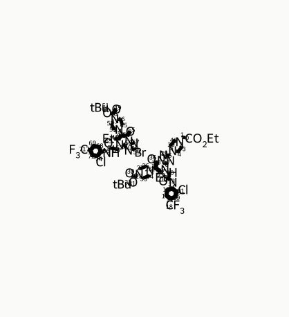 CCOC(=O)CN1CCN(c2nc3n(CC(=O)Nc4ccc(C(F)(F)F)cc4Cl)c(CC)c(N4CCN(C(=O)OC(C)(C)C)CC4)c(=O)n3n2)CC1.CCc1c(N2CCN(C(=O)OC(C)(C)C)CC2)c(=O)n2nc(Br)nc2n1CC(=O)Nc1ccc(C(F)(F)F)cc1Cl